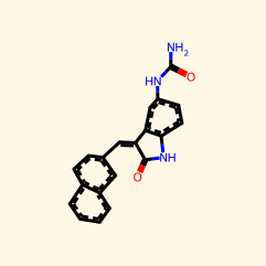 NC(=O)Nc1ccc2c(c1)C(=Cc1ccc3ccccc3c1)C(=O)N2